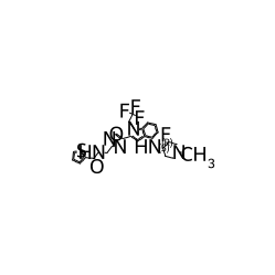 CN1CC[C@H](Nc2cccc3c2cc(-c2nc(CNC(=O)c4cccs4)no2)n3CC(F)(F)F)[C@H](F)C1